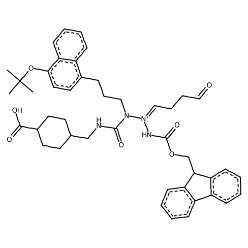 CC(C)(C)Oc1ccc(CCCN(C(=O)NCC2CCC(C(=O)O)CC2)/[N+](=C/CCC=O)NC(=O)OCC2c3ccccc3-c3ccccc32)c2ccccc12